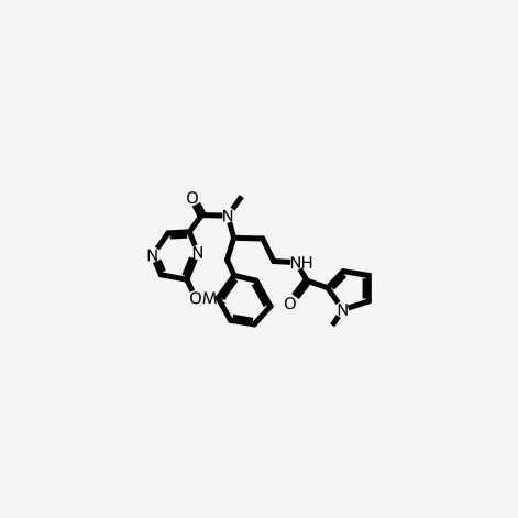 COc1cncc(C(=O)N(C)C(CCNC(=O)c2cccn2C)Cc2ccccc2)n1